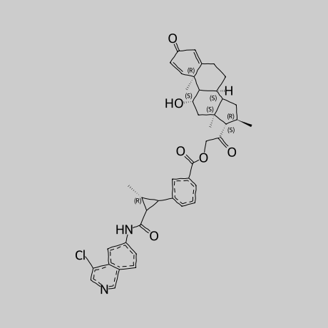 C[C@H]1C(C(=O)Nc2ccc3cncc(Cl)c3c2)C1c1cccc(C(=O)OCC(=O)[C@H]2[C@H](C)CC3[C@@H]4CCC5=CC(=O)C=C[C@]5(C)C4[C@@H](O)C[C@@]32C)c1